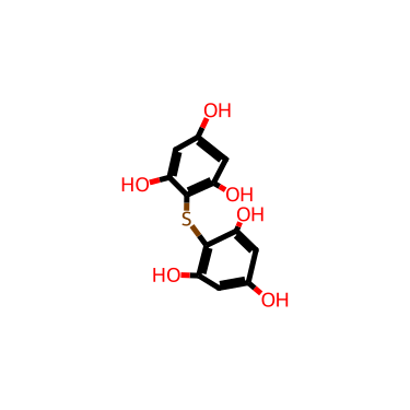 Oc1cc(O)c(Sc2c(O)cc(O)cc2O)c(O)c1